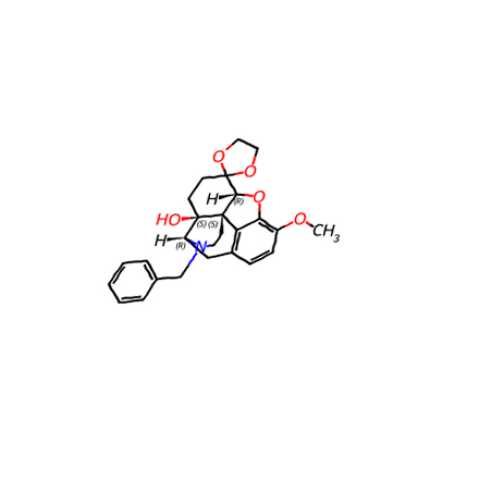 COc1ccc2c3c1O[C@H]1C4(CC[C@@]5(O)[C@@H](C2)N(Cc2ccccc2)CC[C@]315)OCCO4